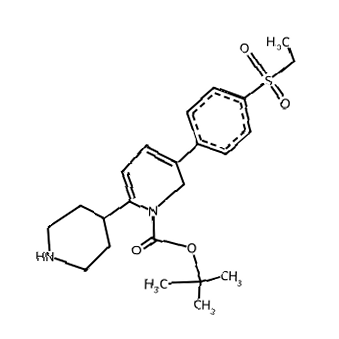 CCS(=O)(=O)c1ccc(C2=CC=C(C3CCNCC3)N(C(=O)OC(C)(C)C)C2)cc1